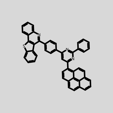 c1ccc(-c2nc(-c3ccc(-c4nc5ccccc5c5sc6ccccc6c45)cc3)cc(-c3ccc4ccc5cccc6ccc3c4c56)n2)cc1